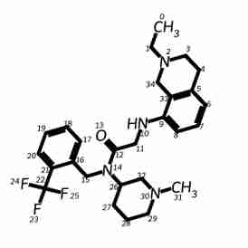 CCN1CCc2cccc(NCC(=O)N(Cc3ccccc3C(F)(F)F)C3CCCN(C)C3)c2C1